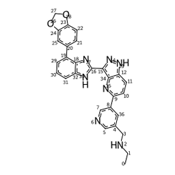 CCNCc1cncc(-c2ccc3[nH]nc(-c4nc5c(-c6ccc7c(c6)OCO7)cccc5[nH]4)c3n2)c1